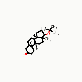 CC(C)(C)OC1CC[C@H]2C3CCC4CC(=O)CCC4(C)[C@H]3CCC12C